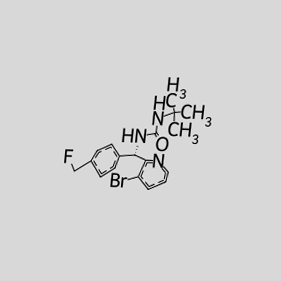 CC(C)(C)NC(=O)N[C@@H](c1ccc(CF)cc1)c1ncccc1Br